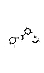 Cc1cc(Nc2nccc(C(F)(F)F)n2)cc(-c2cnc(C3(O)CCC(C)(C(=O)O)CC3)s2)c1